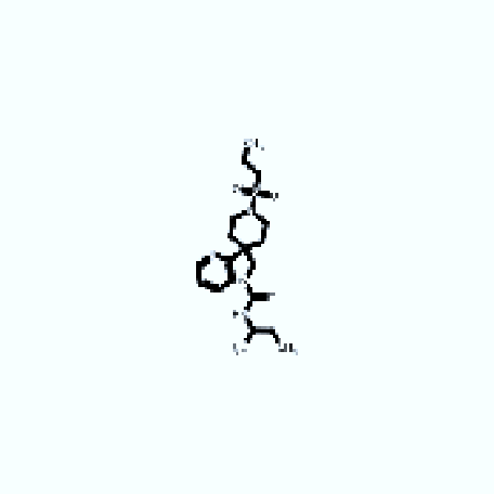 CCCS(=O)(=O)N1CCC(CNC(=O)NC(C)CC)(c2ccccn2)CC1